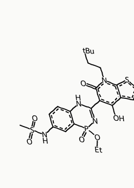 CCOP1(=O)N=C(c2c(O)c3ccsc3n(CCC(C)(C)C)c2=O)Nc2ccc(NS(C)(=O)=O)cc21